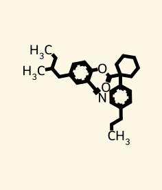 CCCc1ccc(C2(C(=O)Oc3ccc(CC(C)CC)cc3C#N)CCCCC2)cc1